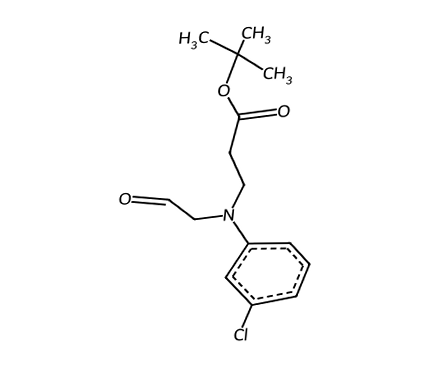 CC(C)(C)OC(=O)CCN(CC=O)c1cccc(Cl)c1